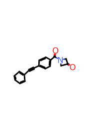 O=C1CN(C(=O)c2ccc(C#Cc3ccccc3)cc2)C1